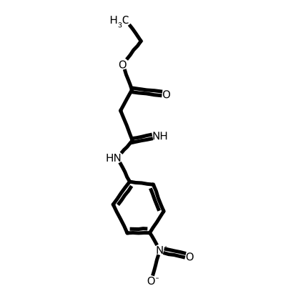 CCOC(=O)CC(=N)Nc1ccc([N+](=O)[O-])cc1